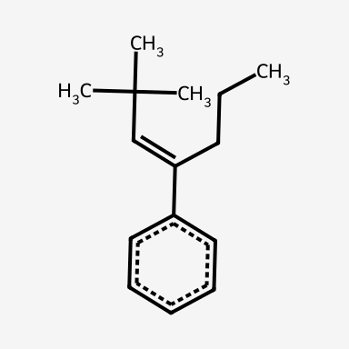 CCCC(=CC(C)(C)C)c1ccccc1